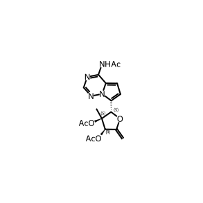 C=C1O[C@@H](c2ccc3c(NC(C)=O)ncnn23)[C@](C)(OC(C)=O)[C@@H]1OC(C)=O